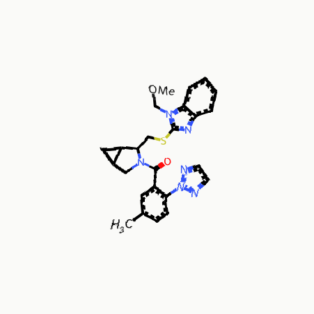 COCn1c(SCC2C3CC3CN2C(=O)c2cc(C)ccc2-n2nccn2)nc2ccccc21